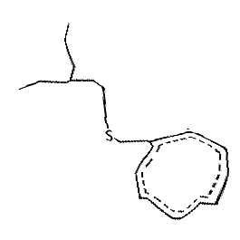 CC(C)CSc1[c]cccc1